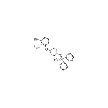 CC(C)(C)[Si](OC1CCC(Oc2cccc(Br)c2C(F)(F)F)CC1)(c1ccccc1)c1ccccc1